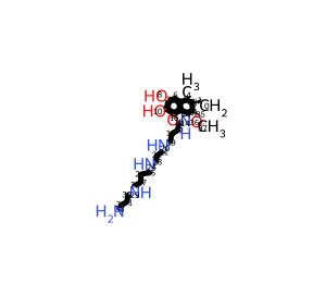 C=C[C@@H]1C(C)c2cc(O)c(O)cc2[C@@H](NC(=O)CCCNCCCNCCCCNCCCN)[C@H]1COC